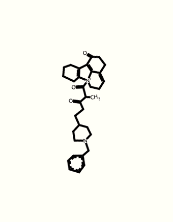 CC(C(=O)CCC1CCN(Cc2ccccc2)CC1)C(=O)[N+]12CCC=C3CCC(=O)C(=C31)C1=C2CCCC1